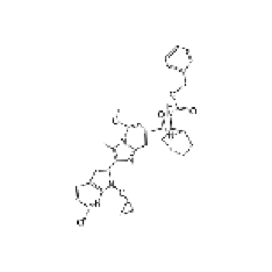 COc1cc(C(=O)N2C3CCC2C(NC(=O)OCc2ccccc2)C3)cc2nc(-c3cc4ccc(Cl)nc4n3CC3CC3)c(C)n12